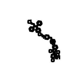 O=C1CCC(N2C(=O)c3ccc(N4CC5CCC4CN5CC4CCN(CCOc5ccc(C(=C(CCCl)c6ccccc6)c6ccccc6)cc5)CC4)cc3C2=O)C(=O)N1